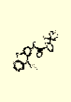 CN(c1cncnc1)c1cc(NC(=O)c2cccc(C(C)(F)F)n2)ccc1F